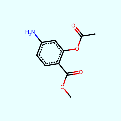 COC(=O)c1ccc(N)cc1OC(C)=O